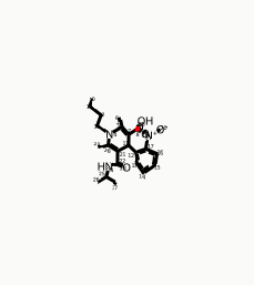 CCCCN1C(C)=C(C(=O)O)C(c2ccccc2[N+](=O)[O-])C(C(=O)NC(C)C)=C1C